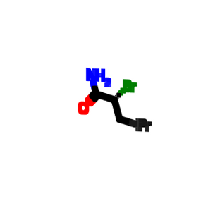 CC(C)C[C@@H](Br)C(N)=O